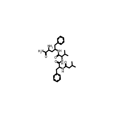 CC(C)CC(=O)NC(Cc1ccccc1)C(=O)NC(C(=O)NC(Cc1ccccc1)CC(N)C(N)=O)C(C)C